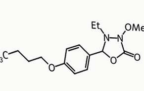 CCN1C(c2ccc(OCCCC(F)(F)F)cc2)OC(=O)N1OC